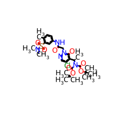 Cc1ccc(NC(=O)Cn2ncc(Cl)c([C@@H](C)N(C(=O)OC(C)(C)C)C(=O)OC(C)(C)C)c2=O)cc1S(=O)(=O)N(C)C